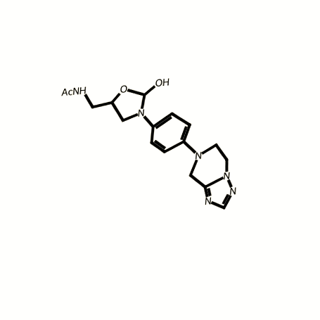 CC(=O)NCC1CN(c2ccc(N3CCn4ncnc4C3)cc2)C(O)O1